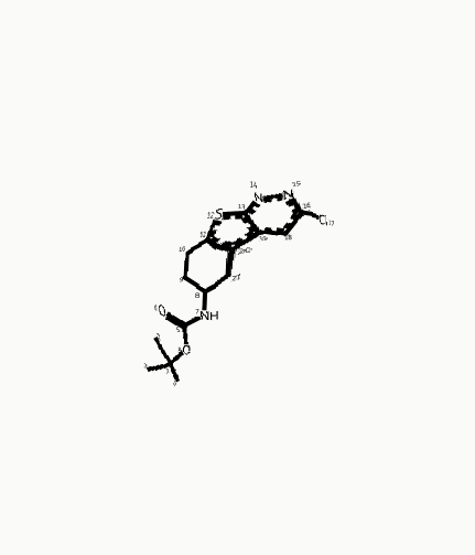 CC(C)(C)OC(=O)NC1CCc2sc3nnc(Cl)cc3c2C1